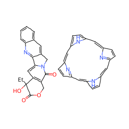 C1=Cc2cc3ccc(cc4nc(cc5ccc(cc1n2)[nH]5)C=C4)[nH]3.CCC1(O)C(=O)OCc2c1cc1n(c2=O)Cc2cc3ccccc3nc2-1